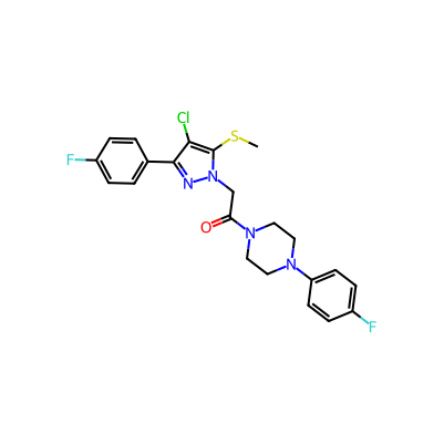 CSc1c(Cl)c(-c2ccc(F)cc2)nn1CC(=O)N1CCN(c2ccc(F)cc2)CC1